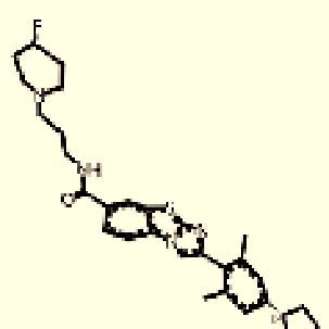 Cc1cc([C@@H]2CCCN2)cc(C)c1-c1cn2c(n1)sc1cc(C(=O)NCCCN3CCC(F)CC3)ccc12